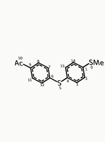 CSc1ccc(Sc2ccc(C(C)=O)cc2)cc1